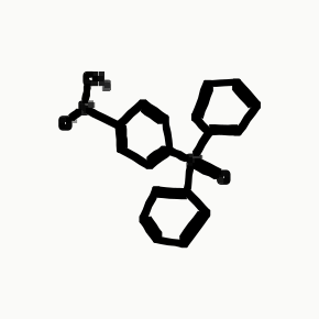 C[S+]([O-])c1ccc([S+](=O)(c2ccccc2)c2ccccc2)cc1